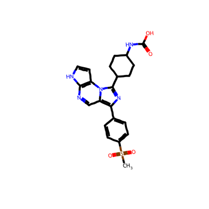 CS(=O)(=O)c1ccc(-c2nc(C3CCC(NC(=O)O)CC3)n3c2cnc2[nH]ccc23)cc1